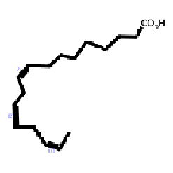 C/C=C\C/C=C\C/C=C\CCCCCCCC(=O)O